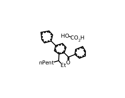 CCCCCC(CC)c1cc(-c2ccccc2)ccc1C(=O)c1ccccc1.O=C(O)O